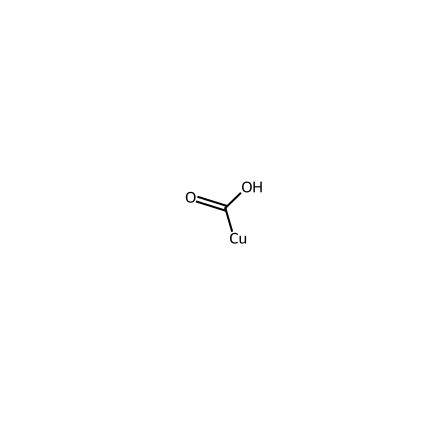 O=[C](O)[Cu]